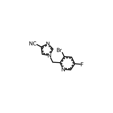 N#Cc1cn(Cc2ncc(F)cc2Br)cn1